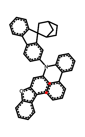 c1ccc(-c2ccccc2N(c2ccc3c(c2)C2(CC4CCC2C4)c2ccccc2-3)c2ccc3c(c2)oc2ccccc23)cc1